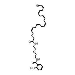 CC/C=C\C/C=C\C/C=C\C/C=C\C/C=C\C/C=C\CSCC(=O)NCCOCCNC(=O)c1ccccc1O